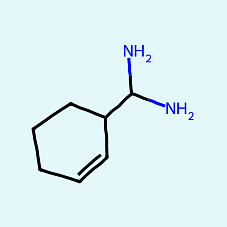 NC(N)C1C=CCCC1